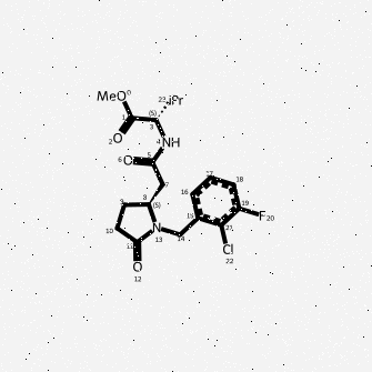 COC(=O)[C@@H](NC(=O)C[C@@H]1CCC(=O)N1Cc1cccc(F)c1Cl)C(C)C